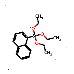 CC[O][Sn]([O]CC)([O]CC)[c]1cccc2ccccc12